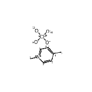 Cc1cc[n+](C)cc1.[O-][Cl+3]([O-])([O-])[O-]